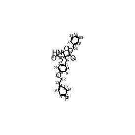 O=C1NC(=O)C(Cc2ccc(OCCc3ccc(F)cc3)cc2)(C(=O)OCc2ccccc2)S1